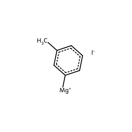 Cc1ccc[c]([Mg+])c1.[I-]